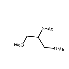 COCC(COC)NC(C)=O